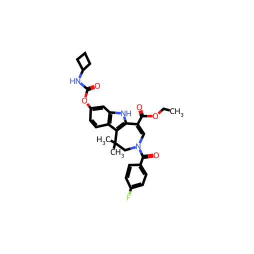 CCOC(=O)C1=CN(C(=O)c2ccc(F)cc2)CC(C)(C)c2c1[nH]c1cc(OC(=O)NC3CCC3)ccc21